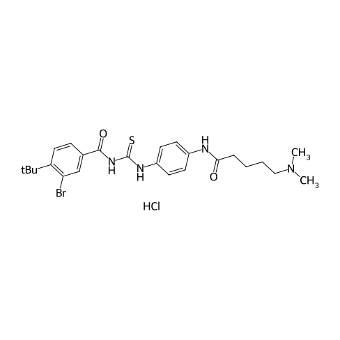 CN(C)CCCCC(=O)Nc1ccc(NC(=S)NC(=O)c2ccc(C(C)(C)C)c(Br)c2)cc1.Cl